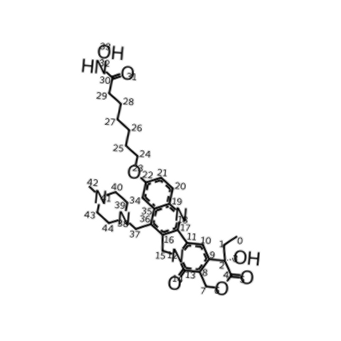 CC[C@@]1(O)C(=O)OCc2c1cc1n(c2=O)Cc2c-1nc1ccc(OCCCCCCC(=O)NO)cc1c2CN1CCN(C)CC1